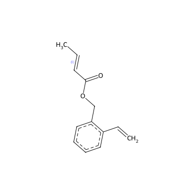 C=Cc1ccccc1COC(=O)/C=C/C